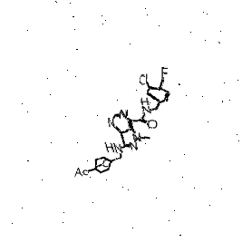 CC(=O)C12CCC(CNc3nn(C)c4c(C(=O)NCc5ccc(F)c(Cl)c5)ncnc34)(CC1)CC2